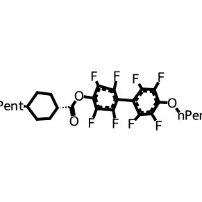 CCCCCOc1c(F)c(F)c(-c2c(F)c(F)c(OC(=O)[C@H]3CC[C@H](CCCCC)CC3)c(F)c2F)c(F)c1F